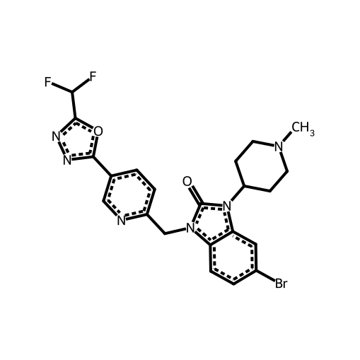 CN1CCC(n2c(=O)n(Cc3ccc(-c4nnc(C(F)F)o4)cn3)c3ccc(Br)cc32)CC1